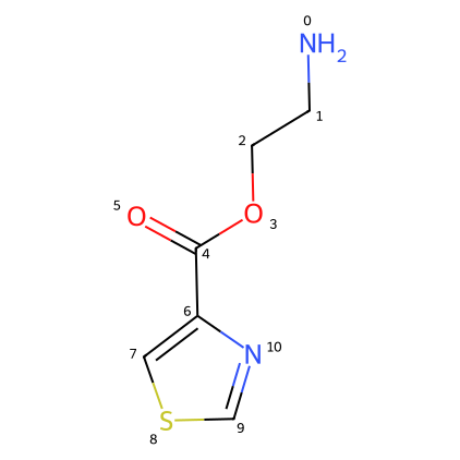 NCCOC(=O)c1cscn1